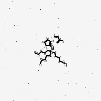 C=CC(=C)C.CCCCCP(CCCCC)(CCCCC)=NC1=CC=CC1.[Ti]